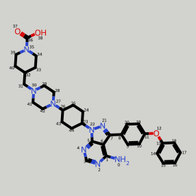 Nc1ncnc2c1c(-c1ccc(Oc3ccccc3)cc1)nn2C1CCC(N2CCN(CC3CCN(C(=O)O)CC3)CC2)CC1